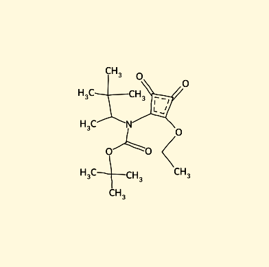 CCOc1c(N(C(=O)OC(C)(C)C)C(C)C(C)(C)C)c(=O)c1=O